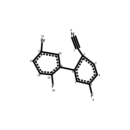 N#Cc1ccc(F)cc1-c1cc(Br)ccc1F